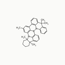 Cc1cc2c3c(c1)N1c4c(cccc4C4(C)CCCCC14C)B3N1c3ccccc3C(C)(C)c3cccc-2c31